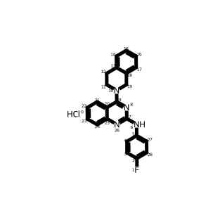 Cl.Fc1ccc(Nc2nc(N3CCc4ccccc4C3)c3ccccc3n2)cc1